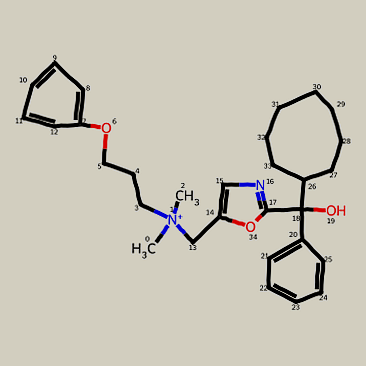 C[N+](C)(CCCOc1ccccc1)Cc1cnc(C(O)(c2ccccc2)C2CCCCCCC2)o1